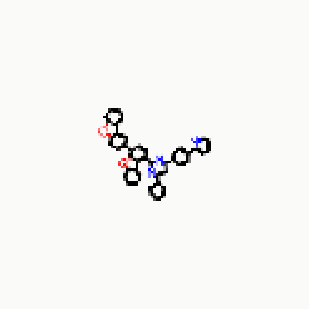 c1ccc(-c2cc(-c3ccc(-c4ccccn4)cc3)nc(-c3ccc(-c4ccc5oc6ccccc6c5c4)c4oc5ccccc5c34)n2)cc1